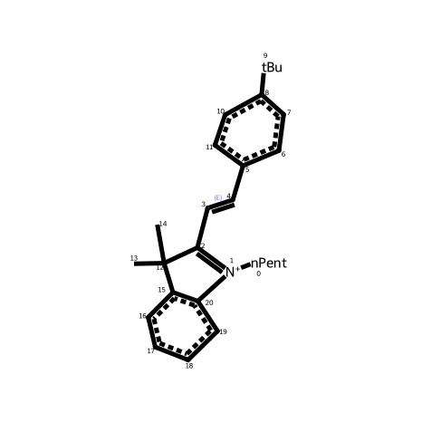 CCCCC[N+]1=C(/C=C/c2ccc(C(C)(C)C)cc2)C(C)(C)c2ccccc21